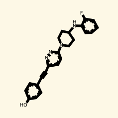 Oc1ccc(C#Cc2ccc(N3CCC(Nc4ccccc4F)CC3)nn2)cc1